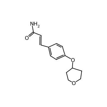 NC(=O)C=Cc1ccc(OC2CCOCC2)cc1